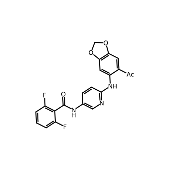 CC(=O)c1cc2c(cc1Nc1ccc(NC(=O)c3c(F)cccc3F)cn1)OCO2